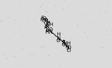 Cc1ccc(NC(=O)C2(c3ccc4c(c3)OC(F)(F)O4)CC2)nc1-c1cccc(C(=O)NCCCCCCCCNC(=O)CCc2ccc(NC(=O)C3CN(C(=O)CCl)C3)s2)c1